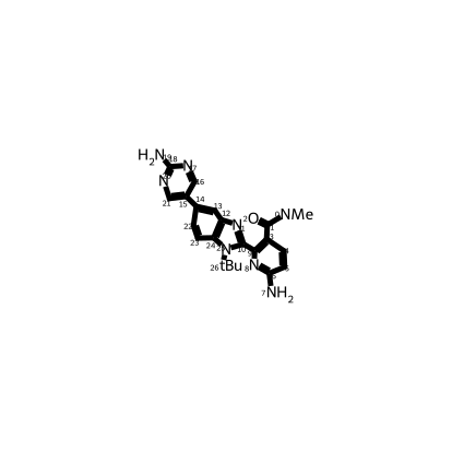 CNC(=O)c1ccc(N)nc1-c1nc2cc(-c3cnc(N)nc3)ccc2n1C(C)(C)C